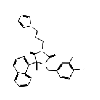 CSc1ccc(CN2C(=O)N(CCCn3ccnc3)C(=O)C2(C)c2cccc3ccccc23)cc1C#N